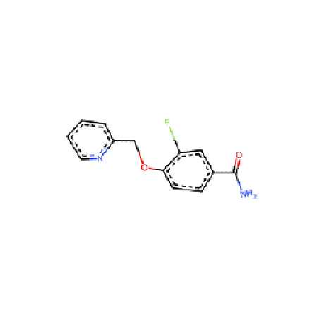 NC(=O)c1ccc(OCc2ccccn2)c(F)c1